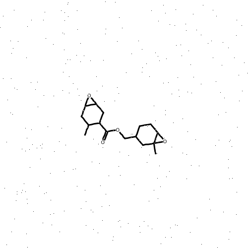 CC1CC2OC2CC1C(=O)OCC1CCC2OC2(C)C1